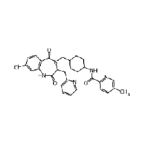 Cc1ccc(C(=O)NC2CCC(CN3C(=O)c4ccc(Cl)cc4NC(=O)C3Cc3ccccn3)CC2)nc1